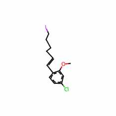 COc1cc(Cl)ccc1/C=C/CCCCI